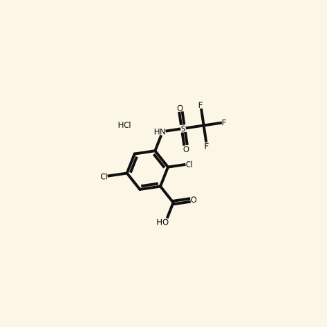 Cl.O=C(O)c1cc(Cl)cc(NS(=O)(=O)C(F)(F)F)c1Cl